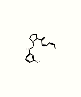 C=C(/C=C\C=C/C)C1CCCN1SNc1cccc(O)c1